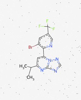 CC(C)c1cc(-c2ncc(C(F)(F)F)cc2Br)n2ncnc2n1